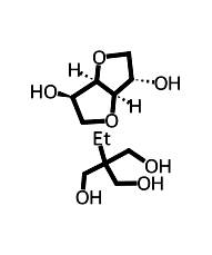 CCC(CO)(CO)CO.O[C@@H]1CO[C@H]2[C@@H]1OC[C@@H]2O